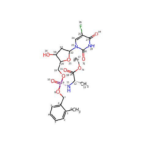 Cc1ccccc1CO[P@](=O)(N[C@@H](C)C(=O)OC(C)C)OCC1OC(n2cc(F)c(=O)[nH]c2=O)CC1O